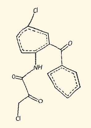 O=C(CCl)C(=O)Nc1ccc(Cl)cc1C(=O)c1ccccc1